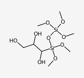 CO[Si](OC)(OC)O[Si](OC)(OC)C(O)C(O)CO